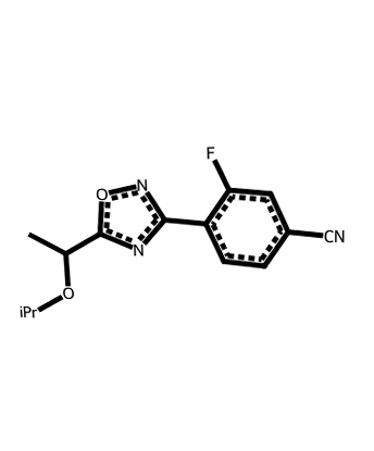 CC(C)OC(C)c1nc(-c2ccc(C#N)cc2F)no1